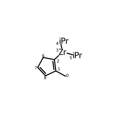 CC1=[C]([Zr]([CH](C)C)[CH](C)C)CC=C1